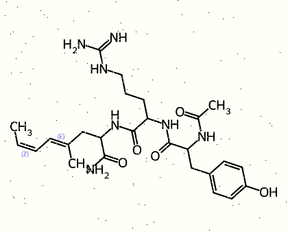 C/C=C\C=C(/C)CC(NC(=O)C(CCCNC(=N)N)NC(=O)C(Cc1ccc(O)cc1)NC(C)=O)C(N)=O